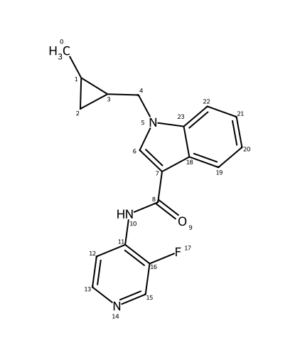 CC1CC1Cn1cc(C(=O)Nc2ccncc2F)c2ccccc21